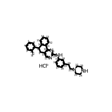 Cl.Fc1ccccc1C1Cc2cnc(Nc3cccc(CCN4CCNCC4)c3)nc2-c2ccccc21